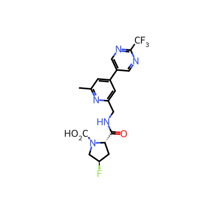 Cc1cc(-c2cnc(C(F)(F)F)nc2)cc(CNC(=O)[C@@H]2C[C@@H](F)CN2C(=O)O)n1